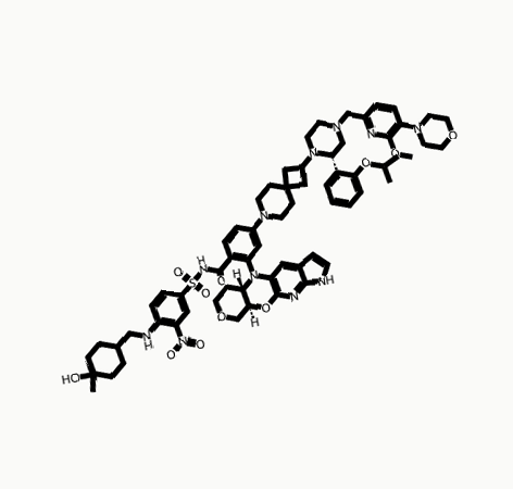 COc1nc(CN2CCN(C3CC4(CCN(c5ccc(C(=O)NS(=O)(=O)c6ccc(NCC7CCC(C)(O)CC7)c([N+](=O)[O-])c6)c(N6c7cc8cc[nH]c8nc7O[C@H]7COCC[C@@H]76)c5)CC4)C3)[C@@H](c3ccccc3OC(C)C)C2)ccc1N1CCOCC1